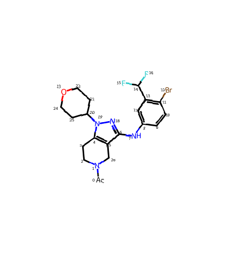 CC(=O)N1CCc2c(c(Nc3ccc(Br)c(C(F)F)c3)nn2C2CCOCC2)C1